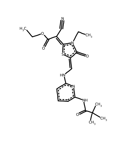 CCOC(=O)C(C#N)=c1sc(=CNc2cccc(NC(=O)C(C)(C)C)n2)c(=O)n1CC